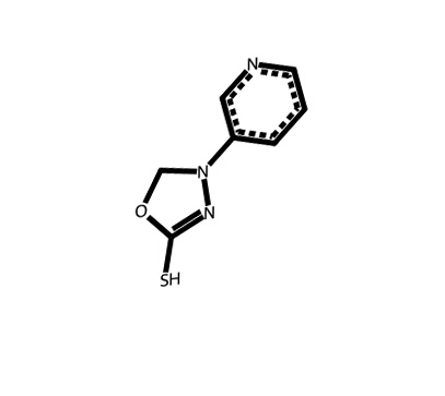 SC1=NN(c2cccnc2)CO1